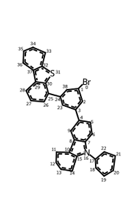 Brc1cc(-c2ccc3c(c2)c2ccccc2n3-c2ccccc2)cc(-c2cccc3c2sc2ccccc23)c1